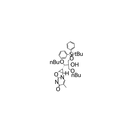 CCCCOC[C@](O)(CO[Si](c1ccccc1)(c1ccccc1)C(C)(C)C)C(OCCCC)[C@H]1C2Oc3nc(=O)c(C)cn3[C@H]21